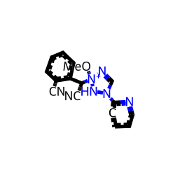 CO[N+]1(C(C#N)c2ccccc2C#N)N=CN(c2ccccn2)N1